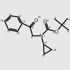 CC(C)(C)OC(=O)N(CC(=O)c1ccccc1)C1CC1